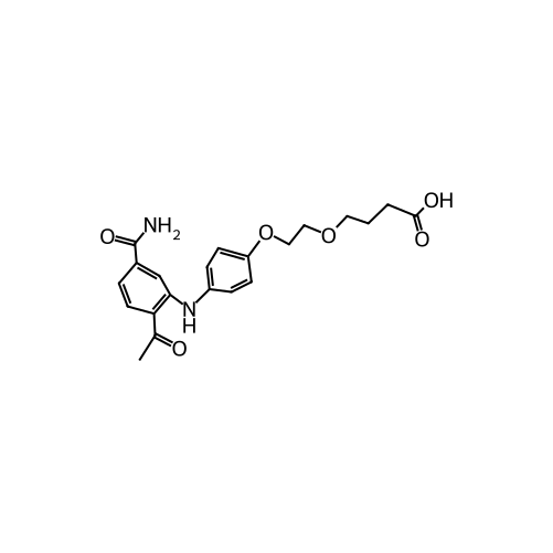 CC(=O)c1ccc(C(N)=O)cc1Nc1ccc(OCCOCCCC(=O)O)cc1